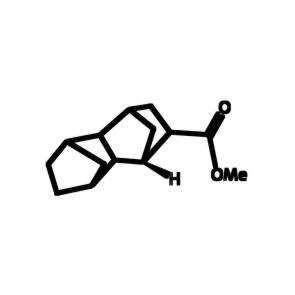 COC(=O)C1CC2C[C@H]1C1C3CCC(C3)C21